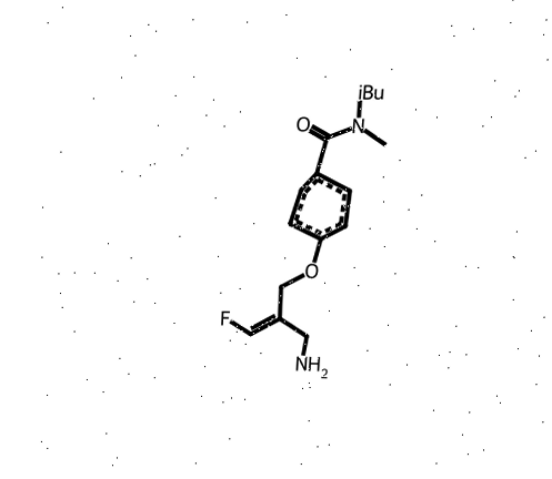 CCC(C)N(C)C(=O)c1ccc(OC/C(=C\F)CN)cc1